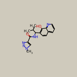 CC(C)C(NC(=O)c1cn(C)nn1)c1ccc2cccnc2c1O